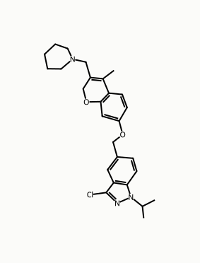 CC1=C(CN2CCCCC2)COc2cc(OCc3ccc4c(c3)c(Cl)nn4C(C)C)ccc21